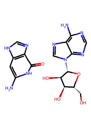 Nc1cc2[nH]cnc2c(=O)[nH]1.Nc1ncnc2c1ncn2[C@@H]1O[C@H](CO)[C@@H](O)[C@H]1O